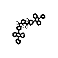 O=c1c2ccc(-c3c4ccccc4c(-c4ccccc4)c4ccccc34)cc2oc2c1ccc1oc3cc(-c4c5ccccc5c(-c5ccccc5)c5ccccc45)ccc3c(=O)c12